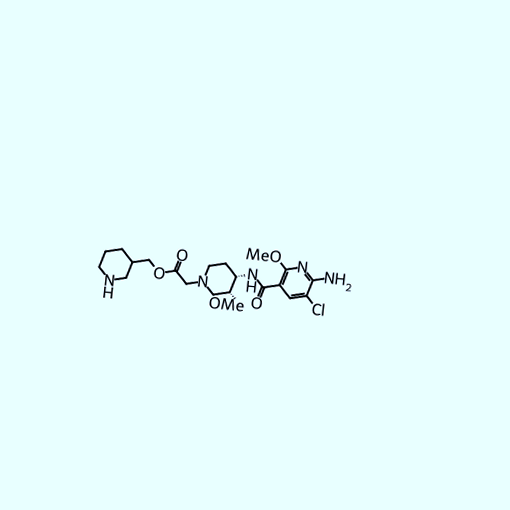 COc1nc(N)c(Cl)cc1C(=O)N[C@H]1CCN(CC(=O)OCC2CCCNC2)C[C@H]1OC